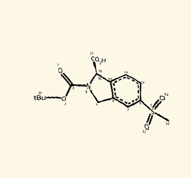 CC(C)(C)OC(=O)N1Cc2cc(S(C)(=O)=O)ccc2[C@@H]1C(=O)O